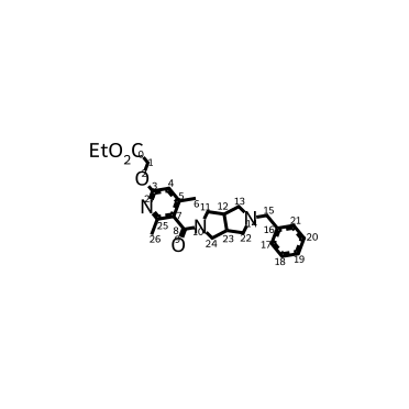 CCOC(=O)COc1cc(C)c(C(=O)N2CC3CN(Cc4ccccc4)CC3C2)c(C)n1